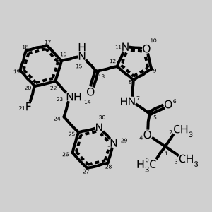 CC(C)(C)OC(=O)Nc1conc1C(=O)Nc1cccc(F)c1NCc1cccnn1